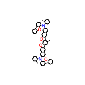 Cc1ccccc1N(c1ccc2cc3c(cc2c1)oc1c3cc(C)c2c3cc4ccc(N(c5ccccc5C)c5cccc6c5oc5ccccc56)cc4cc3oc12)c1cccc2c1oc1ccccc12